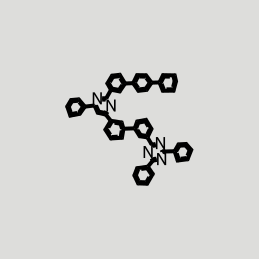 c1ccc(-c2ccc(-c3cccc(-c4nc(-c5ccccc5)cc(-c5cccc(-c6cccc(-c7nc(-c8ccccc8)nc(-c8ccccc8)n7)c6)c5)n4)c3)cc2)cc1